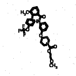 COCCOC(=O)N1CCC(Oc2cccc(NC(=O)c3cccc(C)c3-c3ccc(OC(F)(F)F)cc3)c2)CC1